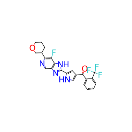 O=C(c1c[nH]c(-c2nc3cnc(C4CCCOC4)c(F)c3[nH]2)c1)c1ccccc1C(F)(F)F